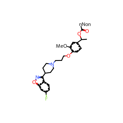 CCCCCCCCCC(=O)OC(C)c1ccc(OCCCN2CCC(c3noc4cc(F)ccc34)CC2)c(OC)c1